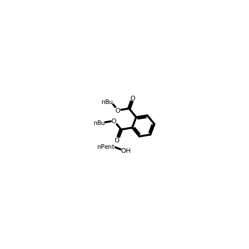 CCCCCO.CCCCOC(=O)c1ccccc1C(=O)OCCCC